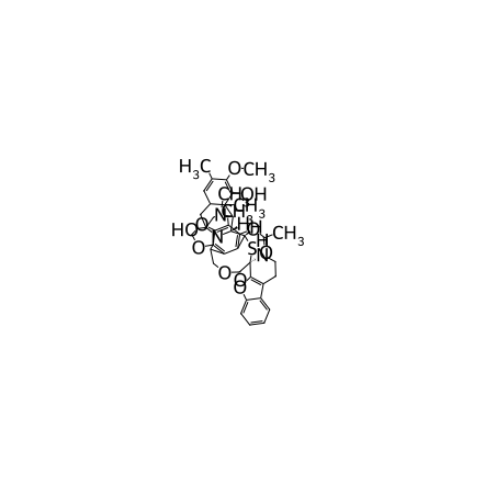 COC1=C(O)C2(C)C(C=C1C)CC1(O)CN(C)C2[C@@H]2[C@@H]3S[C@]4(NCCc5c4oc4ccccc54)C(=O)OCC(c4c5c(c(C)c(OC(C)=O)c43)OCO5)N21